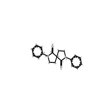 O=C1N(c2ccccc2)CCC12CCN(c1ccccc1)C2=O